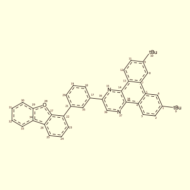 CC(C)(C)c1ccc2c(c1)c1cc(C(C)(C)C)ccc1c1nc(-c3cccc(-c4cccc5c4oc4ccccc45)c3)cnc21